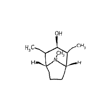 CC1[C@@H](O)C(C)[C@@H]2CC[C@H]1N2C